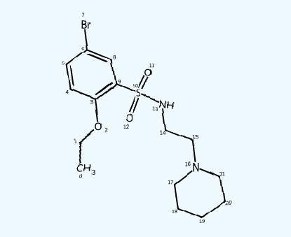 CCOc1ccc(Br)cc1S(=O)(=O)NCCN1CCCCC1